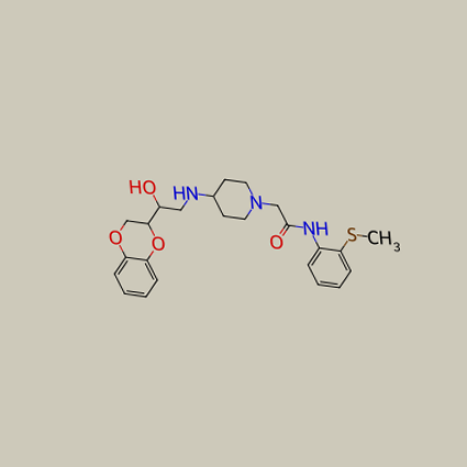 CSc1ccccc1NC(=O)CN1CCC(NCC(O)C2COc3ccccc3O2)CC1